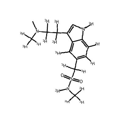 [2H]c1c(C([2H])([2H])S(=O)(=O)N([2H])C([2H])([2H])[2H])c([2H])c2c(C([2H])([2H])C([2H])([2H])N(C)C([2H])([2H])[2H])cn([2H])c2c1[2H]